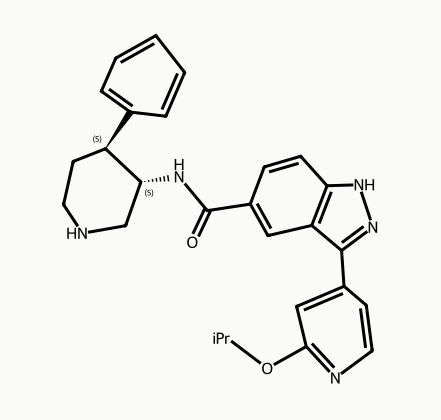 CC(C)Oc1cc(-c2n[nH]c3ccc(C(=O)N[C@@H]4CNCC[C@H]4c4ccccc4)cc23)ccn1